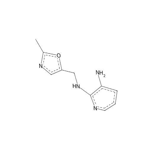 Cc1ncc(CNc2ncccc2N)o1